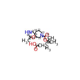 CC(=O)O.C[C@@H]1CNCC2(CCCN(C(=O)OC(C)(C)C)CC2)O1